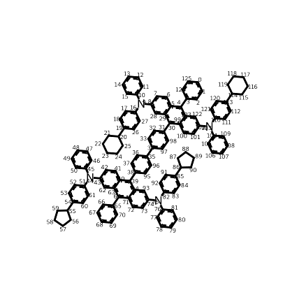 c1ccc(-c2c3ccc(N(c4ccccc4)c4ccc(C5CCCCC5)cc4)cc3c(-c3ccc(-c4ccc(-c5c6ccc(N(c7ccccc7)c7ccc(C8CCCC8)cc7)cc6c(-c6ccccc6)c6ccc(N(c7ccccc7)c7ccc(C8CCCC8)cc7)cc56)cc4)cc3)c3ccc(N(c4ccccc4)c4ccc(C5CCCCC5)cc4)cc23)cc1